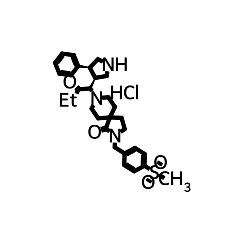 CCC(=O)C([C@@H]1CNC[C@@H]1c1ccccc1)N1CCC2(CCN(Cc3ccc(S(C)(=O)=O)cc3)C2=O)CC1.Cl